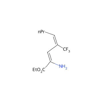 CCC/C=C(\C=C(/N)C(=O)OCC)C(F)(F)F